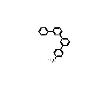 Bc1ccc(-c2cccc(-c3cccc(-c4ccccc4)c3)c2)cc1